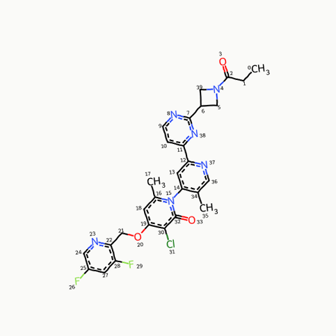 CCC(=O)N1CC(c2nccc(-c3cc(-n4c(C)cc(OCc5ncc(F)cc5F)c(Cl)c4=O)c(C)cn3)n2)C1